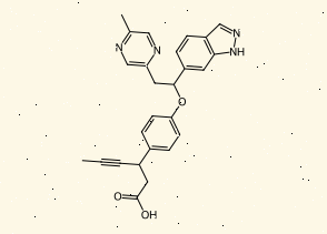 CC#CC(CC(=O)O)c1ccc(OC(Cc2cnc(C)cn2)c2ccc3cn[nH]c3c2)cc1